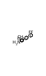 COc1cc(N2CCC(N3CCCC(F)(F)C3)CC2)ccc1N